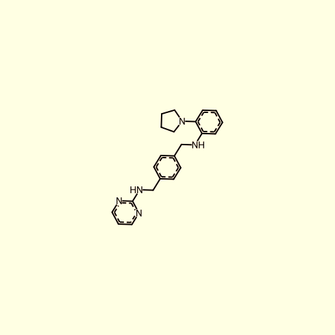 c1cnc(NCc2ccc(CNc3ccccc3N3CCCC3)cc2)nc1